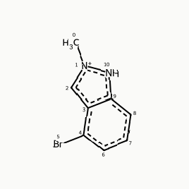 C[n+]1cc2c(Br)cccc2[nH]1